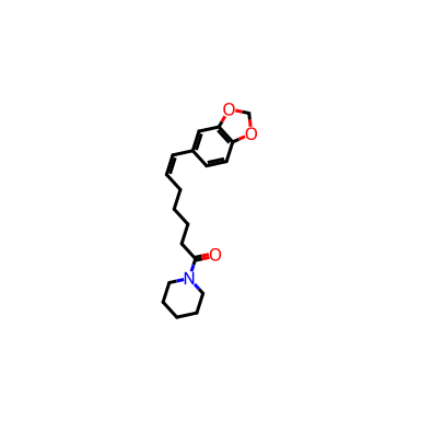 O=C(CCCC/C=C\c1ccc2c(c1)OCO2)N1CCCCC1